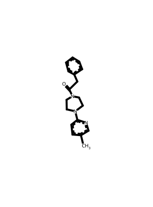 Cc1ccc(N2CCN(C(=O)Cc3ccccc3)CC2)nc1